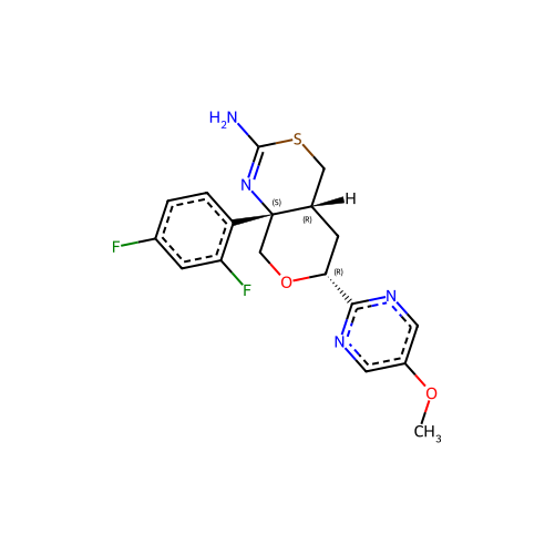 COc1cnc([C@H]2C[C@H]3CSC(N)=N[C@@]3(c3ccc(F)cc3F)CO2)nc1